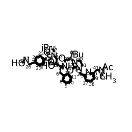 CC[C@H](C)[C@@H](C(=O)N[C@@H](Cc1ccccc1)[C@@H](O)CN(CC(C)C)S(=O)(=O)c1ccc(C=NO)cc1)N1CCN(Cc2cccc(CN(C)C(C)=O)n2)C1=O